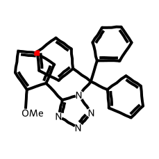 COc1ccccc1-c1nnnn1C(c1ccccc1)(c1ccccc1)c1ccccc1